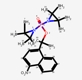 BC(OP(=O)(N1C(B)(B)C1(B)B)N1C(B)(B)C1(B)B)(c1ccc([N+](=O)[O-])c2ccccc12)C(F)(F)F